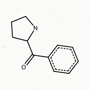 O=C(c1ccccc1)C1CCC[N]1